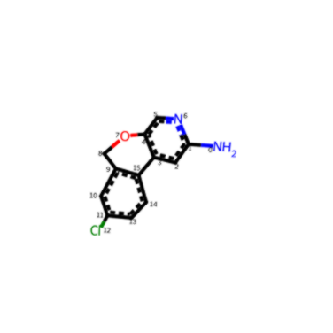 Nc1cc2c(cn1)OCc1cc(Cl)ccc1-2